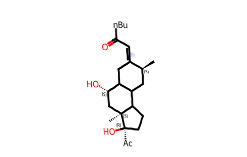 CCCCC(=O)/C=C1\CC2C(C[C@@H]1C)C1CC[C@](O)(C(C)=O)[C@@]1(C)C[C@@H]2O